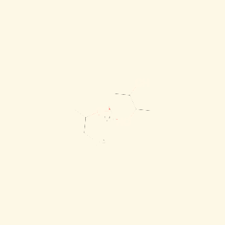 CC(=O)OCC(C)O.CC(O)C(C)O.COC